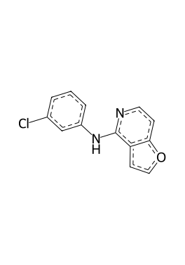 Clc1cccc(Nc2nccc3occc23)c1